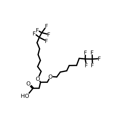 O=C(O)CC(COCCCCCCC(F)(F)C(F)(F)F)OCCCCCCC(F)(F)C(F)(F)F